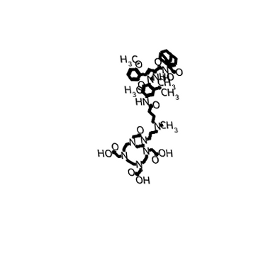 COc1cccc(OC)c1-c1cc(C(=O)NC2(C(=O)O)C3CC4CC(C3)CC2C4)nn1-c1ccc(NC(=O)CCCN(C)CCCN2C(=O)CN3CCN(CC(=O)O)CCN(CC(=O)O)CCN(CC(=O)O)C2C3)cc1C(C)C